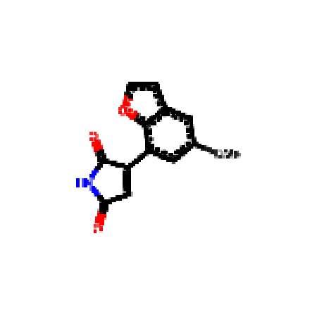 COc1cc(C2=CC(=O)NC2=O)c2occc2c1